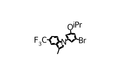 Cc1cn(-c2cc(Br)cc(OC(C)C)c2)c2ccc(C(F)(F)F)cc12